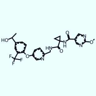 COc1ncc(C(=O)NC2(C(=O)NCc3ccc(Oc4ccc(C(C)O)cc4C(F)(F)F)cn3)CC2)cn1